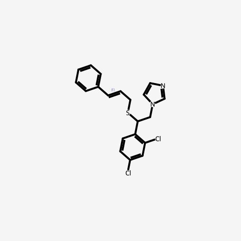 Clc1ccc(C(Cn2ccnc2)SC/C=C/c2ccccc2)c(Cl)c1